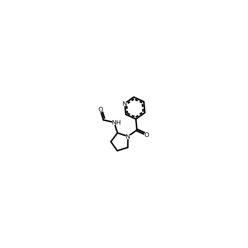 O=CNC1CCCN1C(=O)c1cccnc1